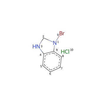 BrN1CNc2ccccc21.Cl